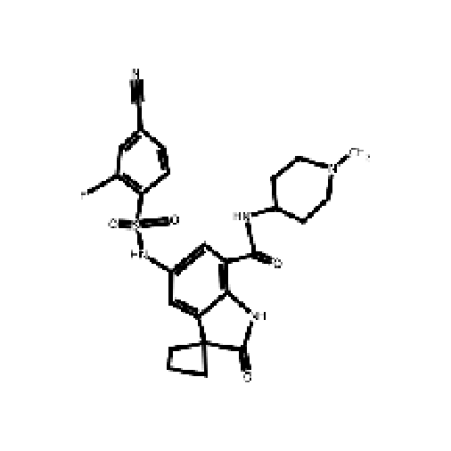 CN1CCC(NC(=O)c2cc(NS(=O)(=O)c3ccc(C#N)cc3F)cc3c2NC(=O)C32CCC2)CC1